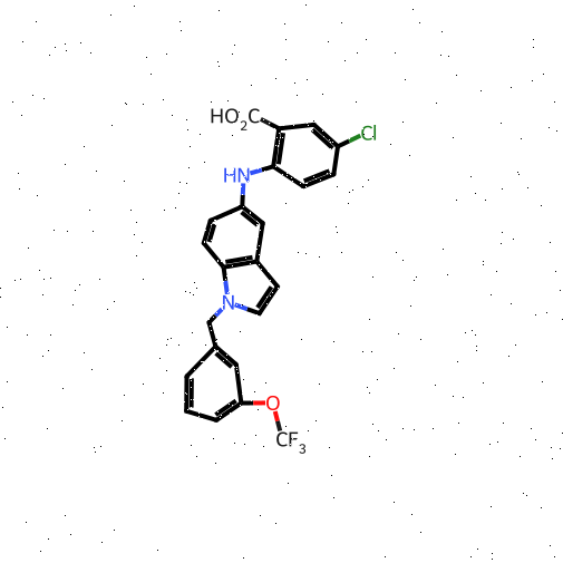 O=C(O)c1cc(Cl)ccc1Nc1ccc2c(ccn2Cc2cccc(OC(F)(F)F)c2)c1